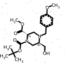 COC(=O)[C@@H]1CN(Cc2ccc(OC)cc2)[C@@H](CO)CN1C(=O)OC(C)(C)C